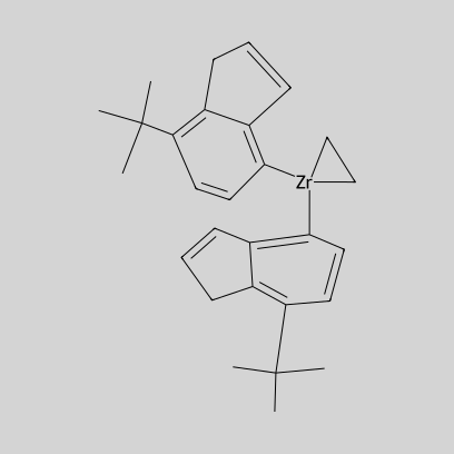 CC(C)(C)c1cc[c]([Zr]2([c]3ccc(C(C)(C)C)c4c3C=CC4)[CH2][CH2]2)c2c1CC=C2